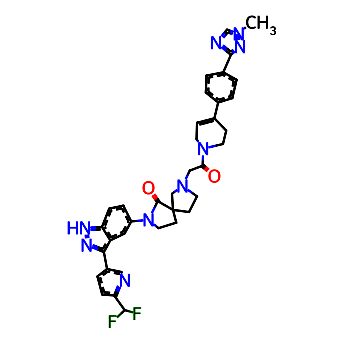 Cn1cnc(-c2ccc(C3=CCN(C(=O)CN4CCC5(CCN(c6ccc7[nH]nc(-c8ccc(C(F)F)nc8)c7c6)C5=O)C4)CC3)cc2)n1